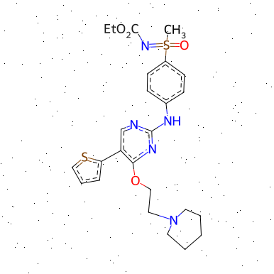 CCOC(=O)N=S(C)(=O)c1ccc(Nc2ncc(-c3cccs3)c(OCCN3CCCCC3)n2)cc1